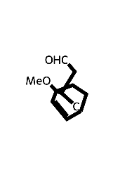 COC12C=CC(CC1)CC2CC=O